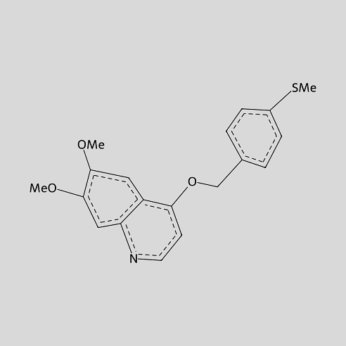 COc1cc2nccc(OCc3ccc(SC)cc3)c2cc1OC